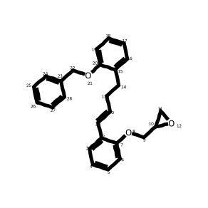 C(=Cc1ccccc1OCC1CO1)CCc1ccccc1OCc1ccccc1